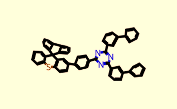 c1ccc(-c2cccc(-c3nc(-c4ccc(-c5ccc6c(c5)C5(c7ccccc7S6)c6ccccc6-c6ccccc65)cc4)nc(-c4cccc(-c5ccccc5)c4)n3)c2)cc1